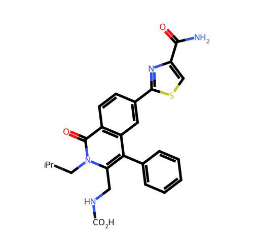 CC(C)Cn1c(CNC(=O)O)c(-c2ccccc2)c2cc(-c3nc(C(N)=O)cs3)ccc2c1=O